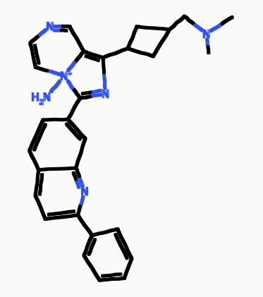 CN(C)CC1CC(C2=C3C=NC=C[N+]3(N)C(c3ccc4ccc(-c5ccccc5)nc4c3)=N2)C1